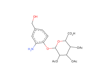 CC(=O)OC1C(Oc2ccc(CO)cc2N)OC(C(=O)O)C(OC(C)=O)C1OC(C)=O